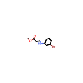 COC(=O)CCNc1cccc(Br)c1